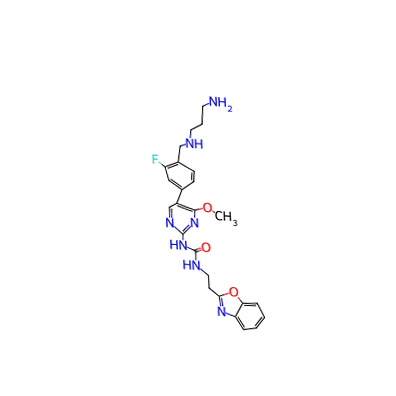 COc1nc(NC(=O)NCCc2nc3ccccc3o2)ncc1-c1ccc(CNCCCN)c(F)c1